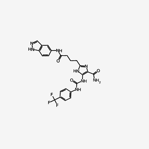 NC(=O)c1nc(CCCC(=O)Nc2ccc3[nH]ncc3c2)[nH]c1NC(=O)Nc1ccc(C(F)(F)F)cc1